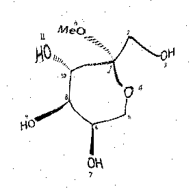 CO[C@]1(CO)OC[C@@H](O)[C@@H](O)[C@@H]1O